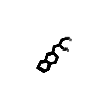 NC[C@@H](N)CC1=Cc2ccccc2CC1